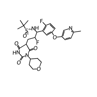 Cc1ccc(Oc2ccc(F)c(C(N[S@+]([O-])C(C)(C)C)C(F)CC3C(=O)NC(=O)N(C4CCOCC4)C3=O)c2)cn1